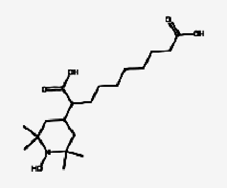 CC1(C)CC(C(CCCCCCCC(=O)O)C(=O)O)CC(C)(C)N1O